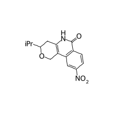 CC(C)C1Cc2[nH]c(=O)c3ccc([N+](=O)[O-])cc3c2CO1